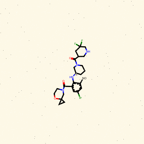 O=Nc1cc(Br)cc(C(=O)N2CCOC3(CC3)C2)c1N[C@@H]1CCCN(C(=O)C2CNCC(F)(F)C2)C1